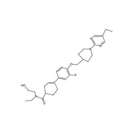 CCc1cnc(N2CCC(COc3ccc(C4=CCC(C(=O)N(CC)CCO)CC4)cc3F)CC2)nc1